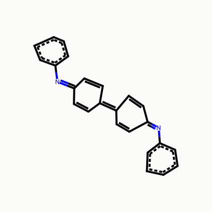 C1=CC(=C2C=CC(=Nc3ccccc3)C=C2)C=CC1=Nc1ccccc1